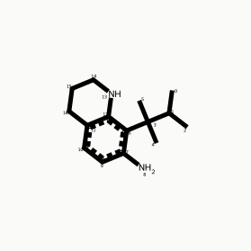 CC(C)C(C)(C)c1c(N)ccc2c1NCCC2